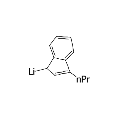 [Li][CH]1C=C(CCC)c2ccccc21